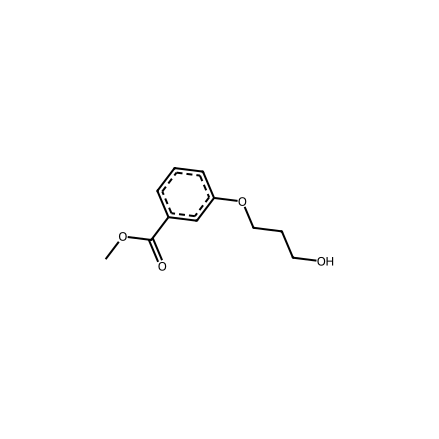 COC(=O)c1cccc(OCCCO)c1